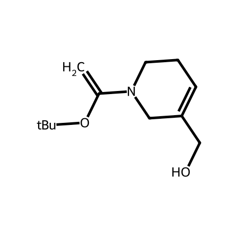 C=C(OC(C)(C)C)N1CCC=C(CO)C1